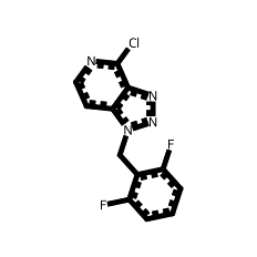 Fc1cccc(F)c1Cn1nnc2c(Cl)nccc21